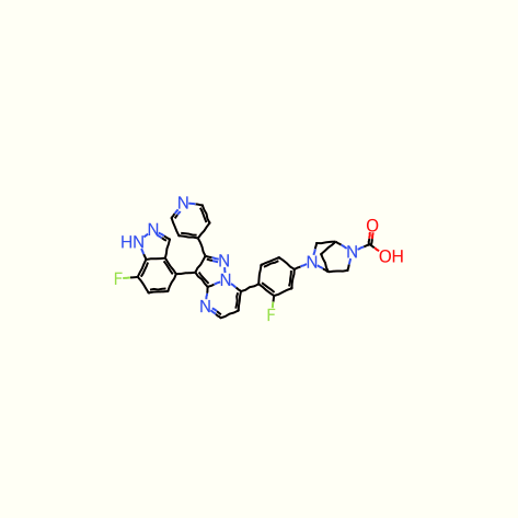 O=C(O)N1CC2CC1CN2c1ccc(-c2ccnc3c(-c4ccc(F)c5[nH]ncc45)c(-c4ccncc4)nn23)c(F)c1